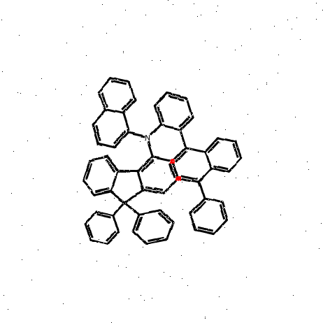 c1ccc(-c2ccc(-c3ccccc3N(c3cccc4c3-c3ccccc3C4(c3ccccc3)c3ccccc3)c3cccc4ccccc34)c3ccccc23)cc1